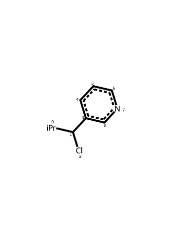 CC(C)C(Cl)c1cccnc1